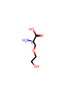 N[C@H](COCCO)C(=O)O